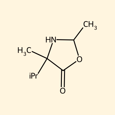 CC1NC(C)(C(C)C)C(=O)O1